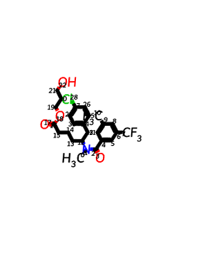 CN(C(=O)c1cc(C(F)(F)F)cc(C(F)(F)F)c1)C(CCCC(=O)OCCCO)Cc1ccc(Cl)cc1